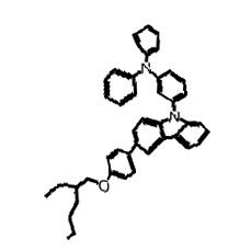 CCCCC(CC)COc1ccc(-c2ccc3c(c2)c2ccccc2n3-c2cccc(N(c3ccccc3)c3ccccc3)c2)cc1